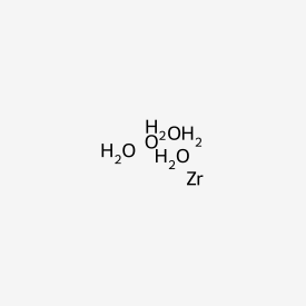 O.O.O.O.[Zr]